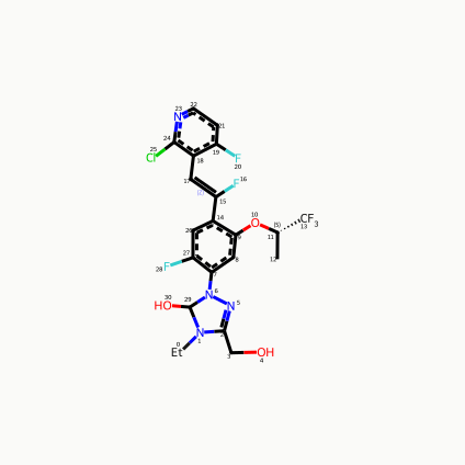 CCN1C(CO)=NN(c2cc(O[C@@H](C)C(F)(F)F)c(/C(F)=C/c3c(F)ccnc3Cl)cc2F)C1O